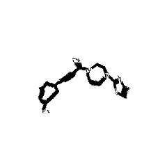 CCc1cccc(C#CC(=O)N2CCN(c3nccs3)CC2)c1